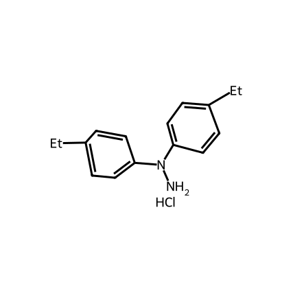 CCc1ccc(N(N)c2ccc(CC)cc2)cc1.Cl